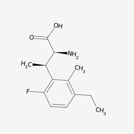 CCc1ccc(F)c([C@@H](C)[C@H](N)C(=O)O)c1C